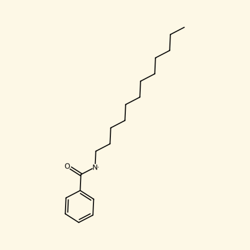 CCCCCCCCCCCC[N]C(=O)c1ccccc1